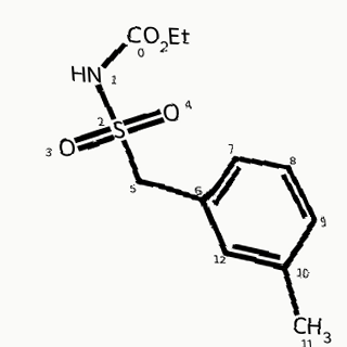 CCOC(=O)NS(=O)(=O)Cc1cccc(C)c1